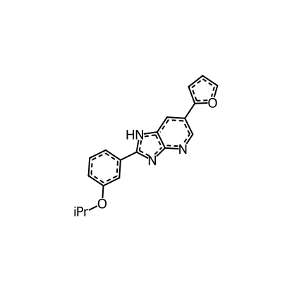 CC(C)Oc1cccc(-c2nc3ncc(-c4ccco4)cc3[nH]2)c1